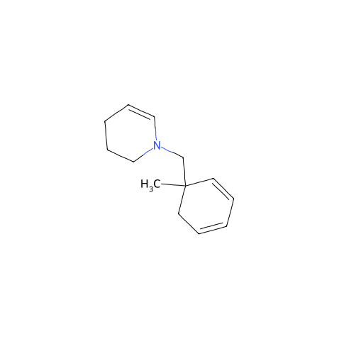 CC1(CN2C=CCCC2)C=CC=CC1